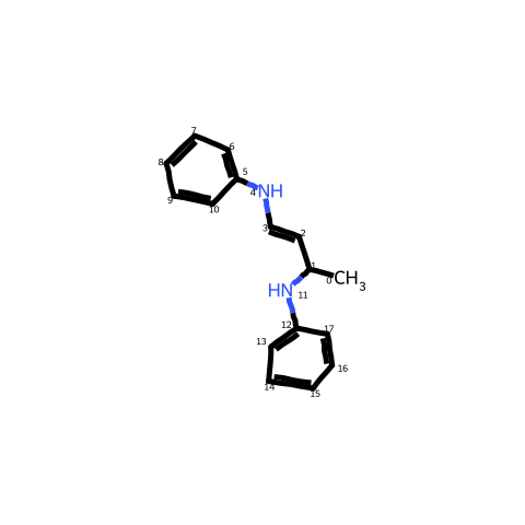 CC(C=CNc1ccccc1)Nc1ccccc1